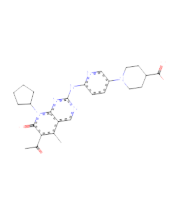 CC(=O)c1c(C)c2cnc(Nc3ccc(N4CCC(C(=O)O)CC4)cn3)nc2n(C2CCCC2)c1=O